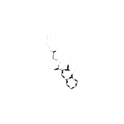 COC(=O)CNC(=O)c1cc2ccccc2oc1=O